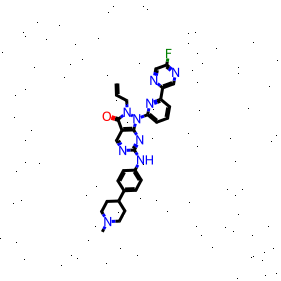 C=CCn1c(=O)c2cnc(Nc3ccc(C4CCN(C)CC4)cc3)nc2n1-c1cccc(-c2cnc(F)cn2)n1